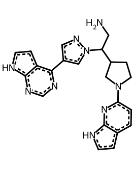 NCC(C1CCN(c2ccc3cc[nH]c3n2)C1)n1cc(-c2ncnc3[nH]ccc23)cn1